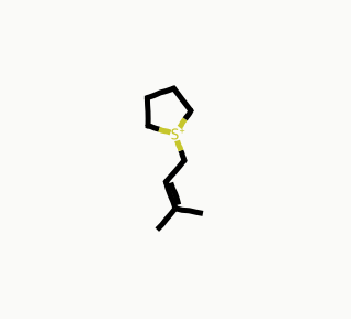 CC(C)=CC[S+]1CCCC1